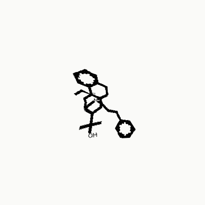 CC[C@]12CC3C(C(C)(C)O)CC1C(Cc1ccccc12)N3CCc1ccccc1